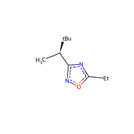 CCc1nc([C@@H](C)C(C)(C)C)no1